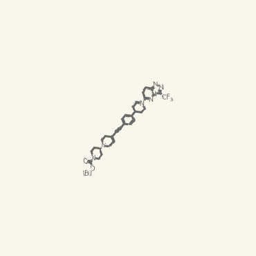 CC(C)(C)OC(=O)N1CCC(N2CCC(C#Cc3ccc(C4CCN(C5=Nn6c(nnc6C(F)(F)F)CC5)CC4)cc3)CC2)CC1